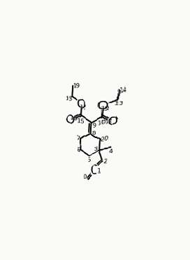 C=C=CC1(C)CCCC(=C(C(=O)OCC)C(=O)OCC)C1